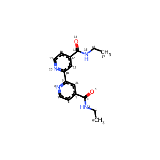 CCNC(=O)c1ccnc(-c2cc(C(=O)NCC)ccn2)c1